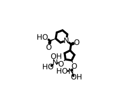 O=C(O)[C@H]1CCCN(C(=O)C2C[C@H](ON(O)O)[C@H](ON(O)O)C2)C1